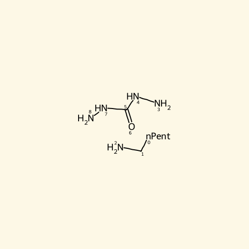 CCCCCCN.NNC(=O)NN